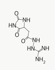 N=C(N)NNC(=O)CC1NC(=O)NC1=O